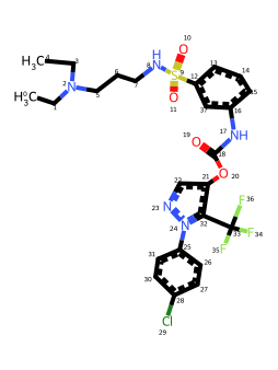 CCN(CC)CCCNS(=O)(=O)c1cccc(NC(=O)Oc2cnn(-c3ccc(Cl)cc3)c2C(F)(F)F)c1